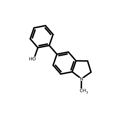 CN1CCc2cc(-c3[c]cccc3O)ccc21